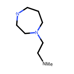 CNCCN1CCC[N]CC1